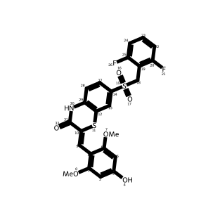 COc1cc(O)cc(OC)c1C=C1Sc2cc(S(=O)(=O)Cc3c(F)cccc3F)ccc2NC1=O